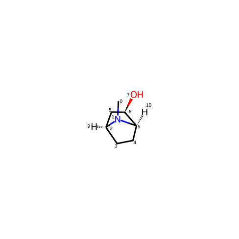 CN1[C@H]2CC[C@@H]1[C@H](O)C2